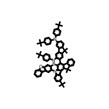 CC(C)(C)c1ccc(N2B3c4cc5oc6ccccc6c5cc4-n4c5ccc(C(C)(C)C)cc5c5c6c(c(c3c54)-c3cc4c(cc32)-c2cc(N(c3ccc(C(C)(C)C)cc3)c3ccc(C(C)(C)C)cc3)ccc2C4(C)C)-c2ccccc2C6(C)C)cc1